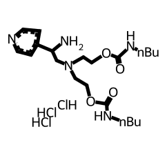 CCCCNC(=O)OCCN(CCOC(=O)NCCCC)CC(N)c1ccncc1.Cl.Cl.Cl